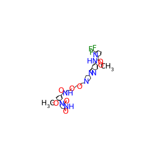 COc1cc2nn(C3CCN(CCOCCOCCNC(=O)c4ccc(OC)c(N5CCC(=O)NC5=O)c4)CC3)cc2cc1NC(=O)c1cccc(C(F)(F)F)n1